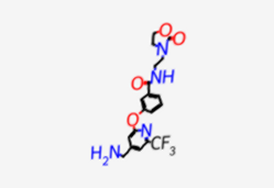 NCc1cc(Oc2cccc(C(=O)NCCN3CCOC3=O)c2)nc(C(F)(F)F)c1